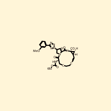 COc1cccc(-c2nnn(C3C[C@H]4C(=O)N[C@@]5(C(=O)O)C[C@H]5/C=C\CCCCC[C@@H](NC(=O)OC(C)(C)C)C(=O)N4C3)n2)c1